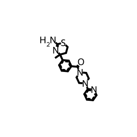 CC1(c2cccc(C(=O)N3CCN(c4ccccn4)CC3)c2)CCSC(N)=N1